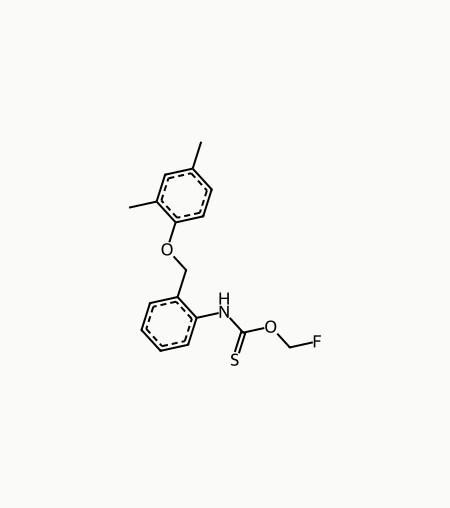 Cc1ccc(OCc2ccccc2NC(=S)OCF)c(C)c1